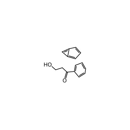 O=C(CCO)c1ccccc1.c1cc2cc-2c1